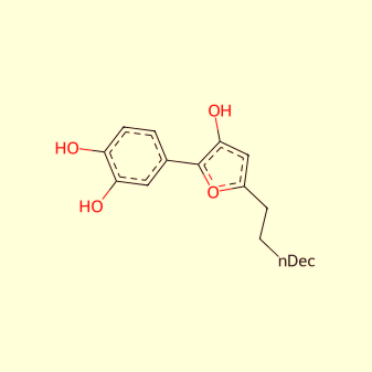 CCCCCCCCCCCCc1cc(O)c(-c2ccc(O)c(O)c2)o1